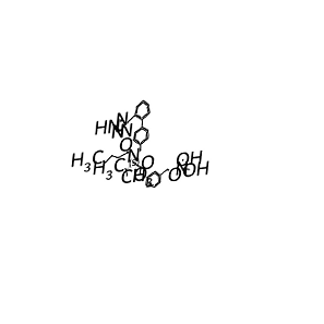 CCCCC(=O)N(Cc1ccc(-c2ccccc2-c2nn[nH]n2)cc1)[C@H](C(=O)Oc1cccc(CON(O)O)c1)C(C)C